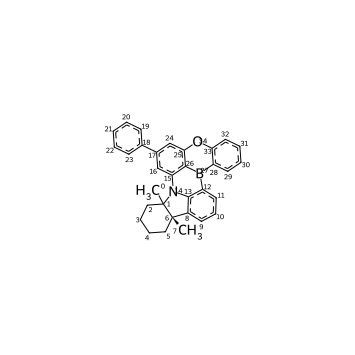 CC12CCCC[C@@]1(C)c1cccc3c1N2c1cc(-c2ccccc2)cc2c1B3c1ccccc1O2